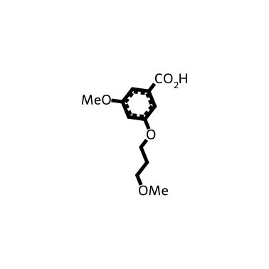 COCCCOc1cc(OC)cc(C(=O)O)c1